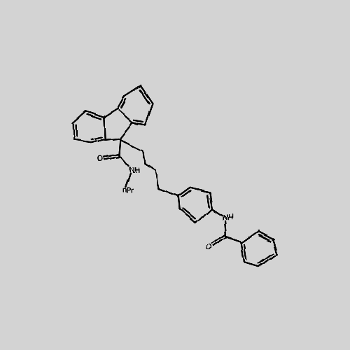 CCCNC(=O)C1(CCCCc2ccc(NC(=O)c3ccccc3)cc2)c2ccccc2-c2ccccc21